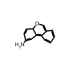 NC1=CC2=c3ccccc3=COC2C=C1